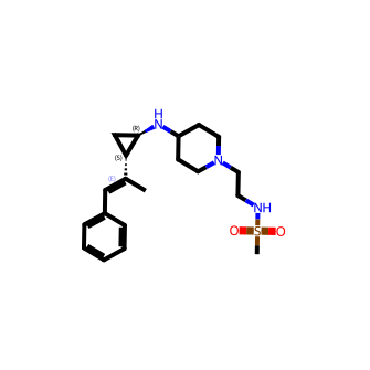 C/C(=C\c1ccccc1)[C@@H]1C[C@H]1NC1CCN(CCNS(C)(=O)=O)CC1